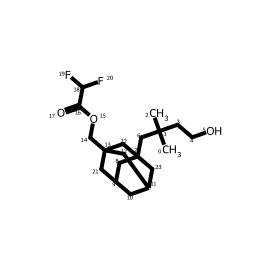 CC(C)(CCO)CC12CC3CC(CC(COC(=O)C(F)F)(C3)C1)C2